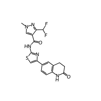 Cn1cc(C(=O)Nc2nc(-c3ccc4c(c3)CCC(=O)N4)cs2)c(C(F)F)n1